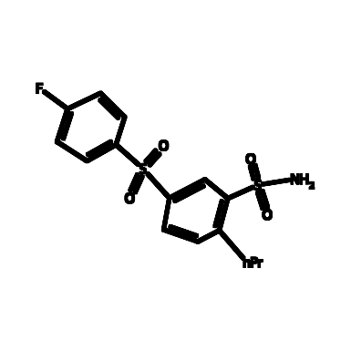 CCCc1ccc(S(=O)(=O)c2ccc(F)cc2)cc1S(N)(=O)=O